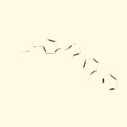 Cc1ccccc1-c1ccc(-c2nc(-c3ccc(C(C)NCC(=O)O)cc3)no2)cc1C(F)(F)F